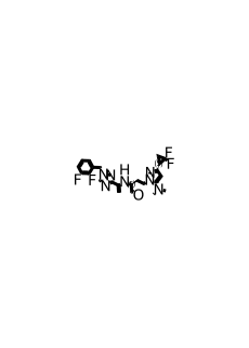 C=C(N[C@H](C=O)CCn1nc([C@@H]2CC2(F)F)cc1N(C)C)c1ncn(Cc2cccc(F)c2F)n1